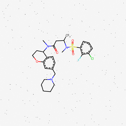 CN(C(=O)CC(N(C)S(=O)(=O)c1cccc(Cl)c1F)C(F)(F)F)C1CCOc2cc(CN3CCCCC3)ccc21